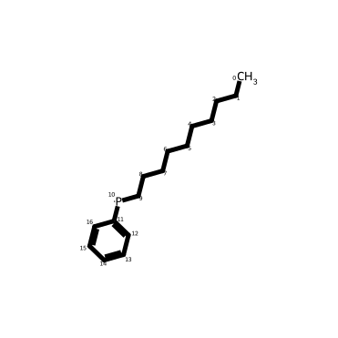 CCCCCCCCCC[P]c1ccccc1